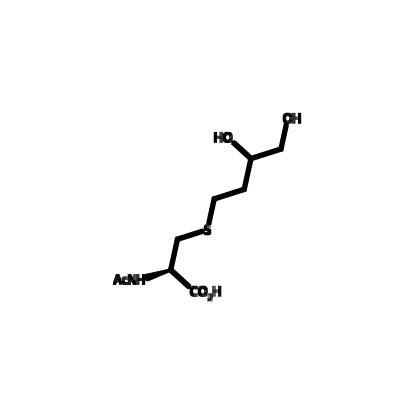 CC(=O)N[C@@H](CSCCC(O)CO)C(=O)O